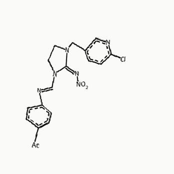 CC(=O)c1ccc(N=CN2CCN(Cc3ccc(Cl)nc3)C2=N[N+](=O)[O-])cc1